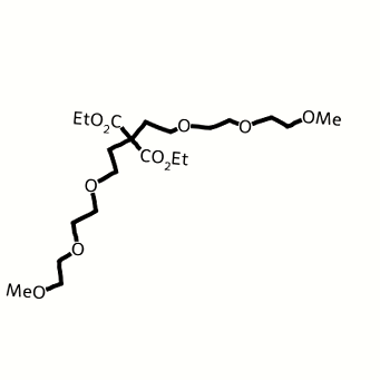 CCOC(=O)C(CCOCCOCCOC)(CCOCCOCCOC)C(=O)OCC